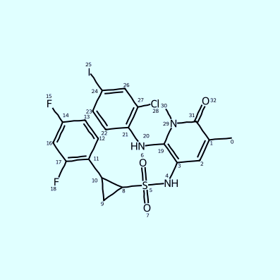 Cc1cc(NS(=O)(=O)C2CC2c2ccc(F)cc2F)c(Nc2ccc(I)cc2Cl)n(C)c1=O